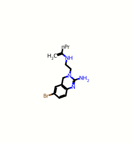 C=C(CCC)NCCN1Cc2cc(Br)ccc2N=C1N